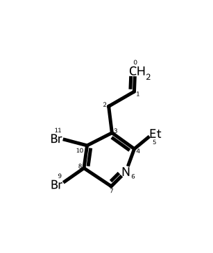 C=CCc1c(CC)ncc(Br)c1Br